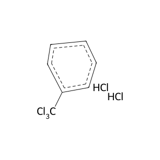 Cl.Cl.ClC(Cl)(Cl)c1ccccc1